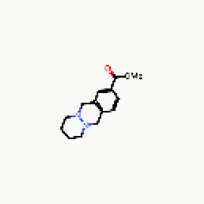 COC(=O)c1ccc2c(c1)CN1CCCCN1C2